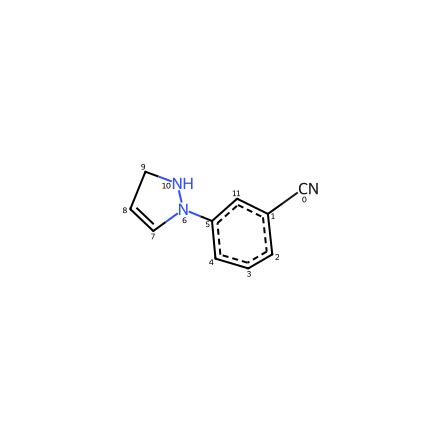 N#Cc1cccc(N2C=CCN2)c1